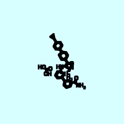 Cc1noc(-c2ccc(-c3ccc(C4CC4)cc3)cc2)c1Nc1cccc(-c2cccc(C(N)=O)c2)n1.O=C(O)O